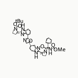 COC(=O)N[C@@H](C(=O)N1CCC[C@H]1c1nc2cc(-c3cnc(-c4cccc5[nH]c([C@@H]6CCCN6C(=O)OC(C)(C)C)nc45)o3)ccc2[nH]1)c1ccccc1